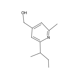 CCC(C)c1cc(CO)cc(C)n1